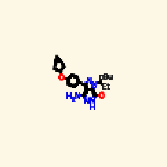 CCCCC(CC)n1nc(-c2ccc(OC3CC4CC4C3)cc2)c2c(N)n[nH]c(=O)c21